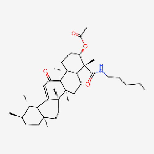 CCCCCNC(=O)[C@]1(C)C2CC[C@]3(C)C(C(=O)C=C4C5[C@@H](C)[C@H](C)CC[C@]5(C)CC[C@]43C)[C@@]2(C)CC[C@H]1OC(C)=O